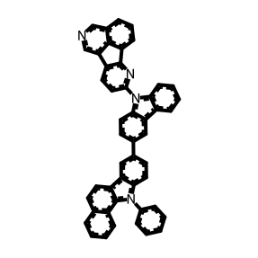 c1ccc(-n2c3ccc(-c4ccc5c(c4)c4ccccc4n5-c4ccc5c(n4)-c4cccc6cncc-5c46)cc3c3ccc4ccccc4c32)cc1